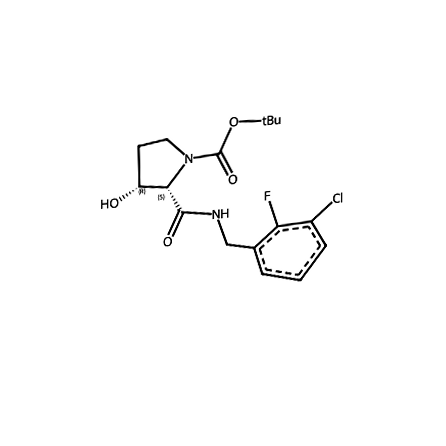 CC(C)(C)OC(=O)N1CC[C@@H](O)[C@H]1C(=O)NCc1cccc(Cl)c1F